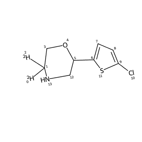 [2H]C1([2H])COC(c2ccc(Cl)s2)CN1